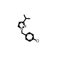 CC(C)c1ccn(Cc2ccc(Cl)cc2)n1